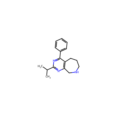 CC(C)c1nc2c(c(-c3ccccc3)n1)CCCNC2